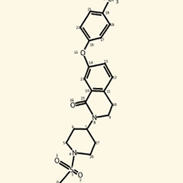 CS(=O)(=O)N1CCC(N2CCc3ccc(Oc4ccc(C(F)(F)F)cc4)cc3C2=O)CC1